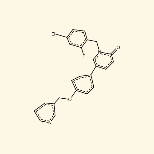 O=c1ccc(-c2ccc(OCc3cccnc3)cc2)cn1Cc1ccc(Cl)cc1F